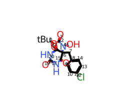 CC(C)(C)OC(=O)N(O)C1(Cc2ccc(Cl)cc2)C(=O)NC(=O)NC1=O